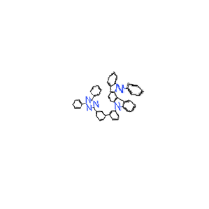 c1ccc(-c2nc(-c3ccccc3)nc(-c3cccc(-c4cccc(-n5c6ccccc6c6c5ccc5c7ccccc7n(-c7ccccc7)c56)c4)c3)n2)cc1